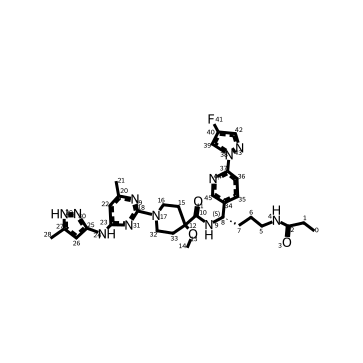 CCC(=O)NCCC[C@H](NC(=O)C1(OC)CCN(c2nc(C)cc(Nc3cc(C)[nH]n3)n2)CC1)c1ccc(-n2cc(F)cn2)nc1